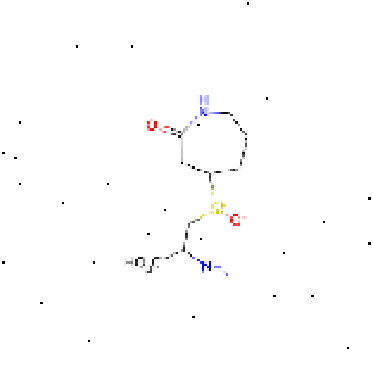 NC(C[S+]([O-])C1CCCNC(=O)C1)C(=O)O